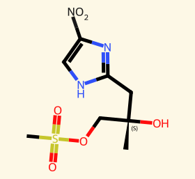 C[C@@](O)(COS(C)(=O)=O)Cc1nc([N+](=O)[O-])c[nH]1